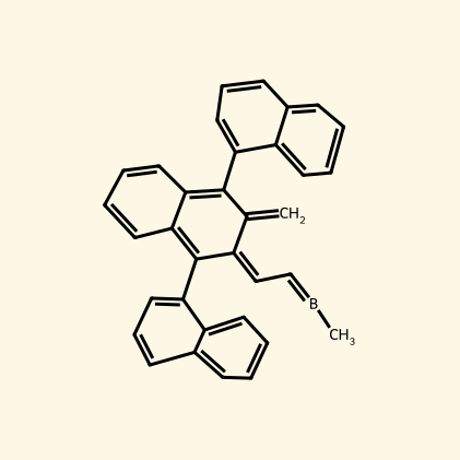 C=c1c(-c2cccc3ccccc23)c2ccccc2c(-c2cccc3ccccc23)/c1=C/C=B\C